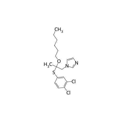 CCCCCCOC(C)(Cn1ccnc1)Sc1ccc(Cl)c(Cl)c1